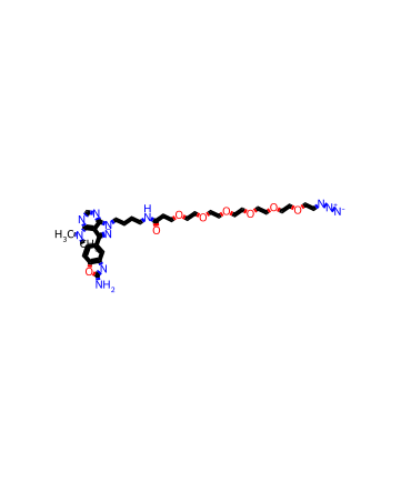 CN(C)c1ncnc2c1c(-c1ccc3oc(N)nc3c1)nn2CCCCNC(=O)CCOCCOCCOCCOCCOCCOCCN=[N+]=[N-]